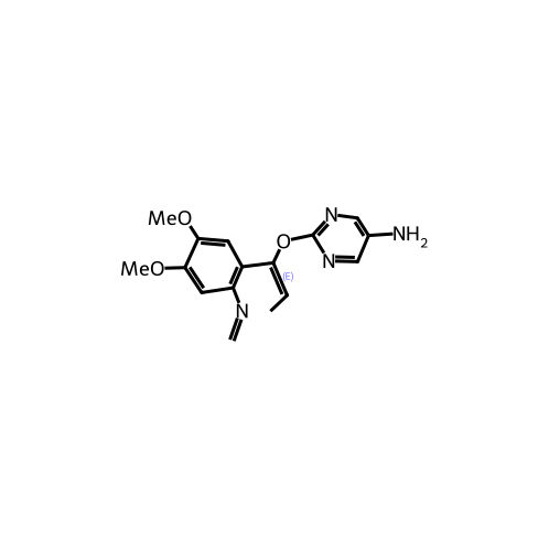 C=Nc1cc(OC)c(OC)cc1/C(=C\C)Oc1ncc(N)cn1